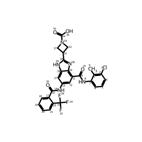 Cc1c(Cl)cccc1NC(=O)c1cc(NC(=O)c2ccccc2C(F)(F)F)cc2[nH]c(C3CN(C(=O)O)C3)nc12